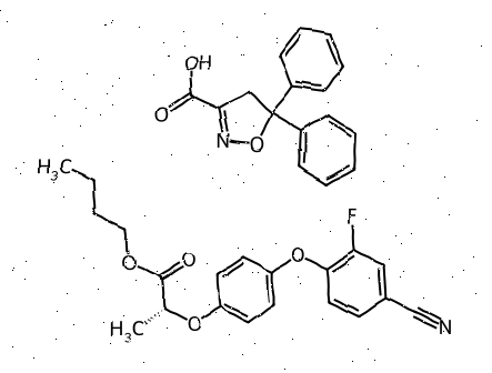 CCCCOC(=O)[C@@H](C)Oc1ccc(Oc2ccc(C#N)cc2F)cc1.O=C(O)C1=NOC(c2ccccc2)(c2ccccc2)C1